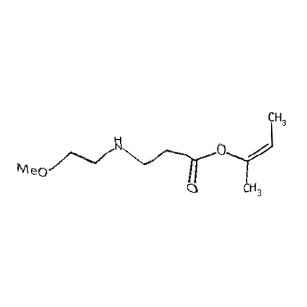 C/C=C(/C)OC(=O)CCNCCOC